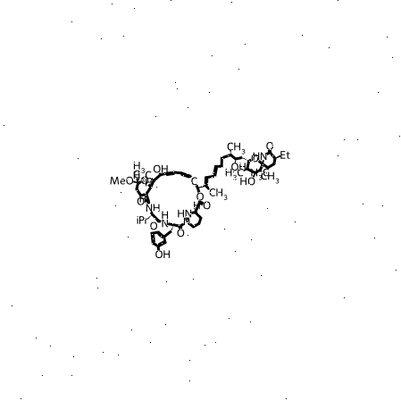 CC[C@H]1C[C@H](C)[C@@]2(NC1=O)O[C@@H](C[C@H](O)[C@@H](C)CCC=CC=C(C)[C@@H]1CC=CC=C[C@H](O)[C@H](C)[C@H]3O[C@](C)(OC)CC[C@H]3C(=O)N[C@@H](C(C)C)C(=O)N[C@@H](Cc3cccc(O)c3)C(=O)N3CCC[C@H](N3)C(=O)O1)[C@H](C)[C@H](O)[C@@H]2C